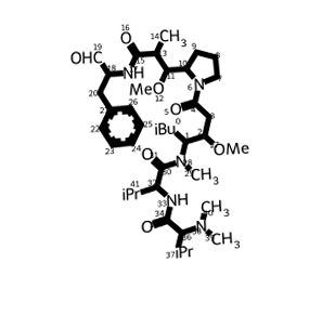 CCC(C)C(C(CC(=O)N1CCCC1C(OC)C(C)C(=O)NC(C=O)Cc1ccccc1)OC)N(C)C(=O)C(NC(=O)C(C(C)C)N(C)C)C(C)C